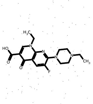 CCN1CCN(c2nc3c(cc2F)c(=O)c(C(=O)O)cn3CC)CC1